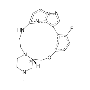 CN1CCN2CCNc3ccn4ncc(c4n3)-c3cc(ccc3F)OC[C@@H]2C1